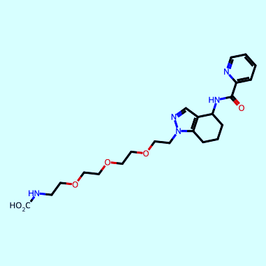 O=C(O)NCCOCCOCCOCCn1ncc2c1CCCC2NC(=O)c1ccccn1